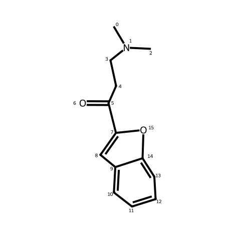 CN(C)CCC(=O)c1cc2ccccc2o1